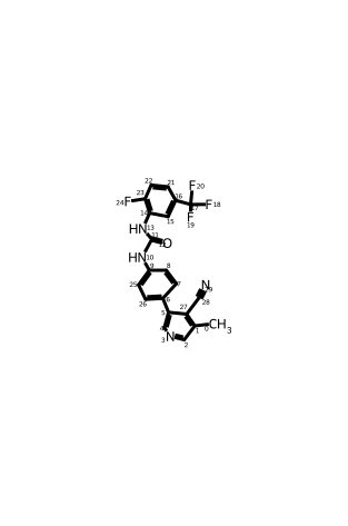 Cc1cncc(-c2ccc(NC(=O)Nc3cc(C(F)(F)F)ccc3F)cc2)c1C#N